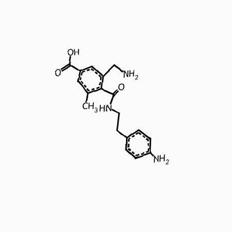 Cc1cc(C(=O)O)cc(CN)c1C(=O)NCCc1ccc(N)cc1